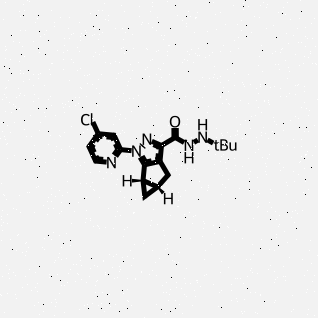 CC(C)(C)NNC(=O)c1nn(-c2cc(Cl)ccn2)c2c1C[C@@H]1C[C@H]21